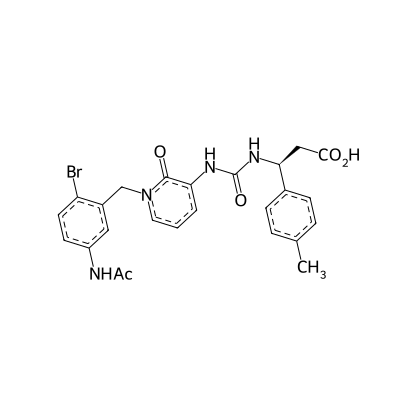 CC(=O)Nc1ccc(Br)c(Cn2cccc(NC(=O)N[C@@H](CC(=O)O)c3ccc(C)cc3)c2=O)c1